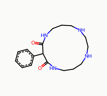 O=C1NCCCNCCNCCCNC(=O)C1c1ccccc1